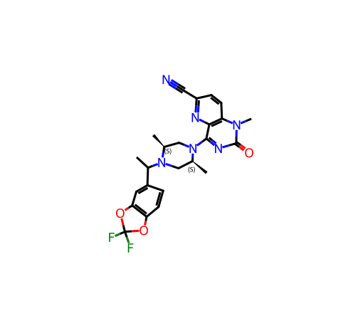 CC(c1ccc2c(c1)OC(F)(F)O2)N1C[C@H](C)N(c2nc(=O)n(C)c3ccc(C#N)nc23)C[C@@H]1C